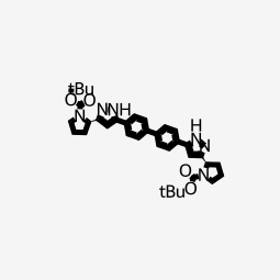 CC(C)(C)OC(=O)N1CCC[C@H]1c1cc(-c2ccc(-c3ccc(-c4cc([C@@H]5CCCN5C(=O)OC(C)(C)C)n[nH]4)cc3)cc2)[nH]n1